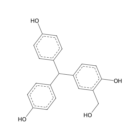 OCc1cc(C(c2ccc(O)cc2)c2ccc(O)cc2)ccc1O